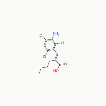 CCCC/C(=C\c1c(Cl)cc(Cl)c(N)c1Cl)C(=O)O